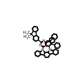 CC1(C)c2ccccc2-c2cc(-c3nc(-c4ccccc4)nc(-n4c5ccccc5c5ccc6c7ccccc7n(-c7cccc(-c8ccccc8)c7-c7ccccc7)c6c54)n3)ccc21